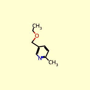 CCOCc1ccc(C)nc1